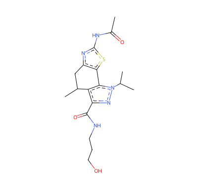 CC(=O)Nc1nc2c(s1)-c1c(c(C(=O)NCCCO)nn1C(C)C)C(C)C2